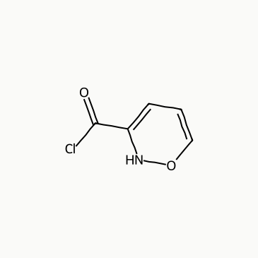 O=C(Cl)C1=CC=CON1